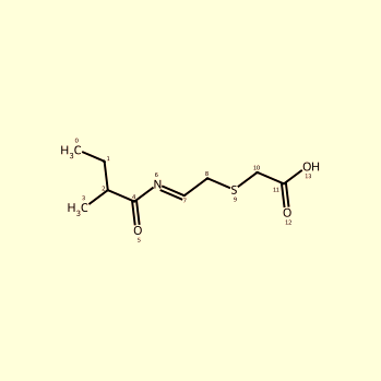 CCC(C)C(=O)/N=C/CSCC(=O)O